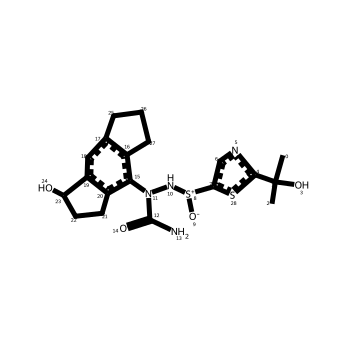 CC(C)(O)c1ncc([S+]([O-])NN(C(N)=O)c2c3c(cc4c2CCC4O)CCC3)s1